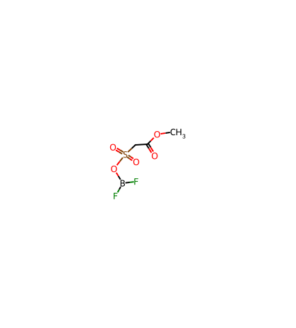 COC(=O)CS(=O)(=O)OB(F)F